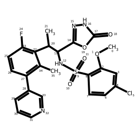 COc1cc(Cl)ccc1S(=O)(=O)NC(c1n[nH]c(=O)o1)C(C)c1c(F)ccc(-c2cccnc2)c1C